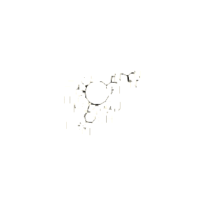 CO[C@]1(C)C[C@@H](C)CN(C)C(C2CN(Cc3cncnc3)C2)COC(=O)C(C)(C)C(=O)[C@H](C)[C@H]1O[C@H]1C[C@@H](N(C)C)C[C@@H](C)O1